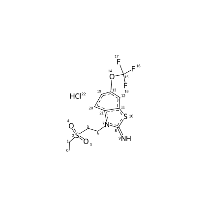 CCS(=O)(=O)CCn1c(=N)sc2cc(OC(F)(F)F)ccc21.Cl